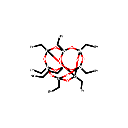 CC(C)C[Si]12O[Si]3(CCCC#N)O[Si]4(CC(C)C)O[Si](CC(C)C)(O1)O[Si]1(CC(C)C)O[Si](CC(C)C)(O2)O[Si](CC(C)C)(O3)O[Si](CC(C)C)(O4)O1